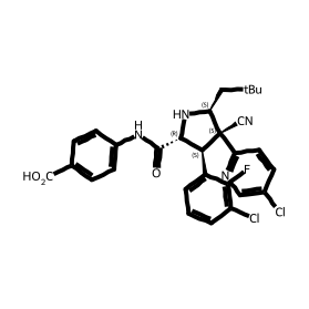 CC(C)(C)C[C@@H]1N[C@@H](C(=O)Nc2ccc(C(=O)O)cc2)[C@H](c2cccc(Cl)c2F)[C@@]1(C#N)c1ccc(Cl)cn1